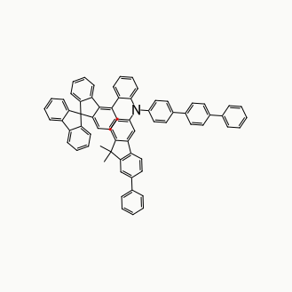 CC1(C)c2ccc(N(c3ccc(-c4ccc(-c5ccccc5)cc4)cc3)c3ccccc3-c3cccc4c3-c3ccccc3C43c4ccccc4-c4ccccc43)cc2-c2ccc(-c3ccccc3)cc21